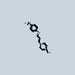 CCN1CCN(CCCOc2ccc(N)cc2)CC1